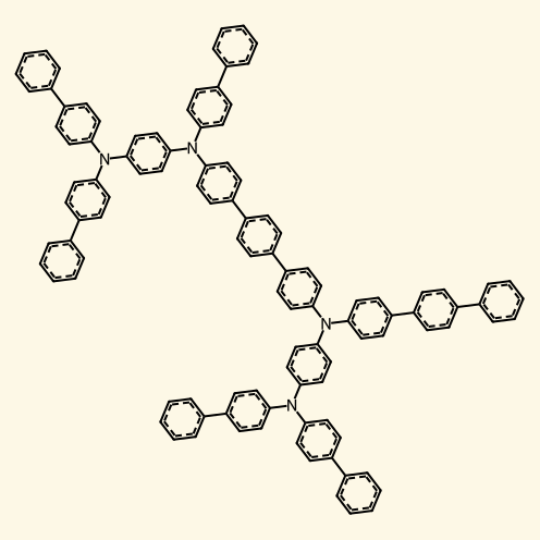 c1ccc(-c2ccc(-c3ccc(N(c4ccc(-c5ccc(-c6ccc(N(c7ccc(-c8ccccc8)cc7)c7ccc(N(c8ccc(-c9ccccc9)cc8)c8ccc(-c9ccccc9)cc8)cc7)cc6)cc5)cc4)c4ccc(N(c5ccc(-c6ccccc6)cc5)c5ccc(-c6ccccc6)cc5)cc4)cc3)cc2)cc1